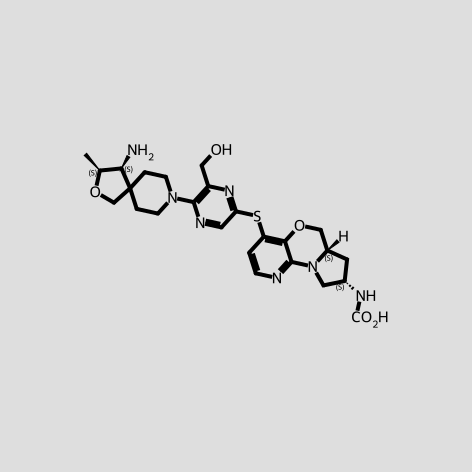 C[C@@H]1OCC2(CCN(c3ncc(Sc4ccnc5c4OC[C@@H]4C[C@H](NC(=O)O)CN54)nc3CO)CC2)[C@@H]1N